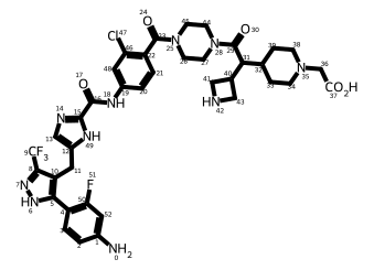 Nc1ccc(-c2[nH]nc(C(F)(F)F)c2Cc2cnc(C(=O)Nc3ccc(C(=O)N4CCN(C(=O)C(C5CCN(CC(=O)O)CC5)C5CNC5)CC4)c(Cl)c3)[nH]2)c(F)c1